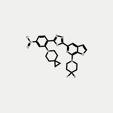 O=[N+]([O-])c1ccc(-c2nnc(-c3cc4ccoc4c(N4CCC(F)(F)CC4)n3)o2)c(N2CCC3(CC2)CC3)c1